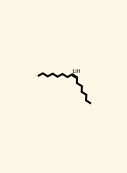 [CH2]CCCCCC/C=C\CCCCCC.[LiH]